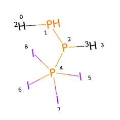 [2H]PP([3H])P(I)(I)(I)I